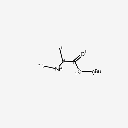 CCCCOC(=O)C(C)NI